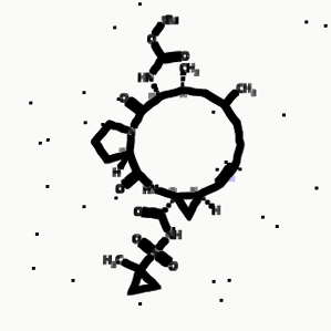 CC1CC/C=C\[C@H]2C[C@@]2(C(=O)NS(=O)(=O)C2(C)CC2)NC(=O)[C@@H]2CCCN2C(=O)[C@H](NC(=O)OC(C)(C)C)[C@H](C)C1